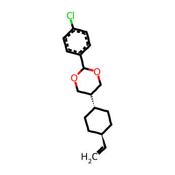 C=C[C@H]1CC[C@H](C2COC(c3ccc(Cl)cc3)OC2)CC1